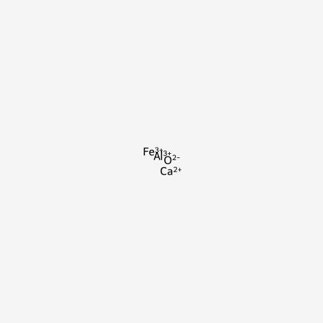 [Al+3].[Ca+2].[Fe+3].[O-2]